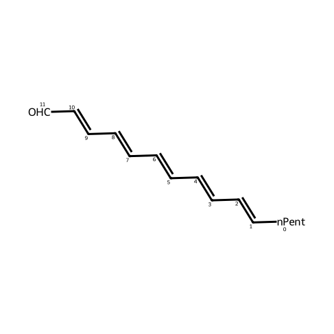 CCCCC/C=C/C=C/C=C/C=C/C=C/C=O